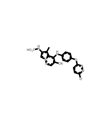 Cc1c(NC(=O)O)cn2ncc(C#N)c(Nc3ccc(Oc4ccc(Cl)nn4)cc3)c12